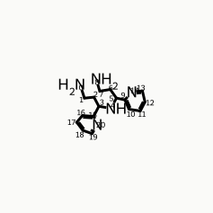 NCCC(NC(CCN)c1ccccn1)c1ccccn1